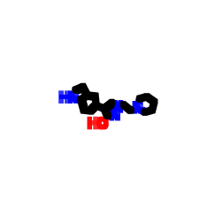 Oc1nn(CCN2CCCCC2)cc1-c1ccc2[nH]ccc2c1